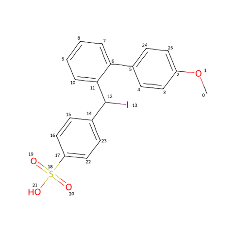 COc1ccc(-c2ccccc2C(I)c2ccc(S(=O)(=O)O)cc2)cc1